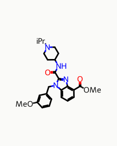 COC(=O)c1cccc2c1nc(C(=O)NC1CCN(C(C)C)CC1)n2Cc1cccc(OC)c1